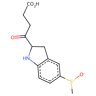 C[S+]([O-])c1ccc2c(c1)CC(C(=O)CCC(=O)O)N2